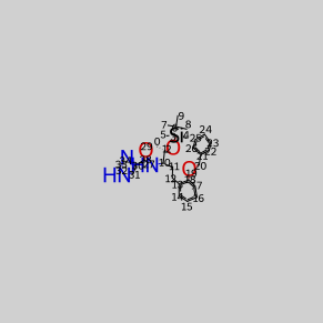 C[C@H](O[Si](C)(C)C(C)(C)C)[C@@H](CCc1ccccc1OCc1ccccc1)NC(=O)c1c[nH]cn1